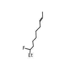 CC=CCCCCCC(F)CC